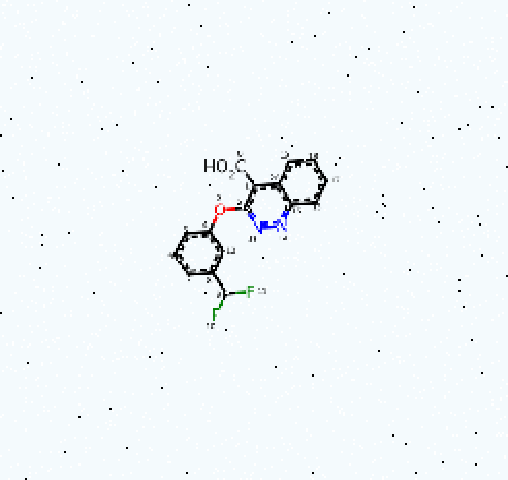 O=C(O)c1c(Oc2cccc(C(F)F)c2)nnc2ccccc12